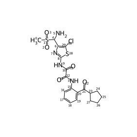 CS(=O)(=O)C(N)c1nc(NC(=O)C(=O)Nc2ccccc2C(=O)C2CCCC2)sc1Cl